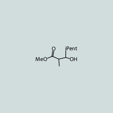 CCCC(C)C(O)C(C)C(=O)OC